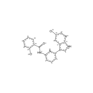 O=C(Nc1cccc(-c2c[nH]c3ncc(Cl)cc23)n1)c1ccccc1Cl